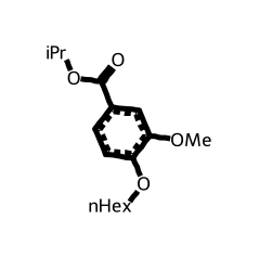 CCCCCCOc1ccc(C(=O)OC(C)C)cc1OC